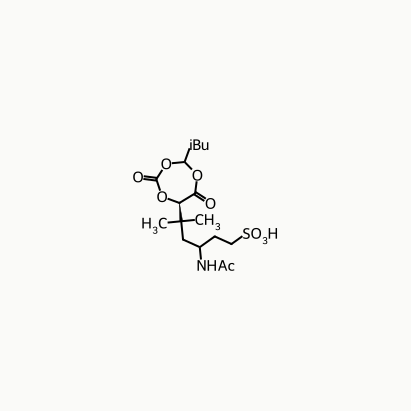 CCC(C)C1OC(=O)O[C@H](C(C)(C)CC(CCS(=O)(=O)O)NC(C)=O)C(=O)O1